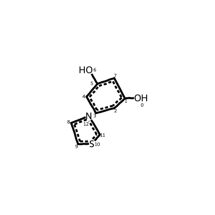 Oc1cccc(O)c1.c1cscn1